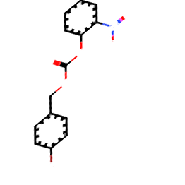 O=C(OCc1ccc(Br)cc1)Oc1ccccc1[N+](=O)[O-]